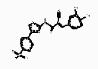 CS(=O)(=O)c1ccc(-c2csc(NC(=O)/C(C#N)=C/c3ccc(O)c(O)c3)n2)cc1